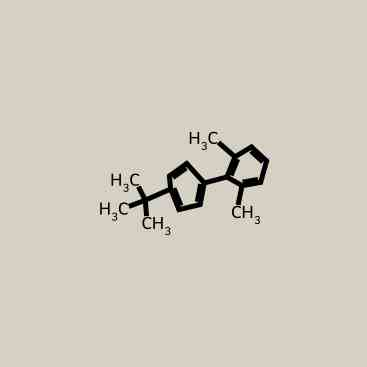 Cc1cccc(C)c1-c1ccc(C(C)(C)C)cc1